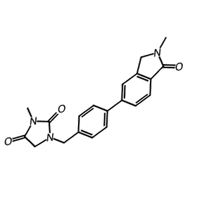 CN1Cc2cc(-c3ccc(CN4CC(=O)N(C)C4=O)cc3)ccc2C1=O